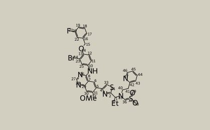 CCC(c1nc(-c2cc3c(Nc4ccc(OCc5cccc(F)c5)c(Br)c4)ncnc3cc2OC)cs1)N(C=S(=O)=O)CCc1ccccn1